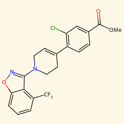 COC(=O)c1ccc(C2=CCN(c3noc4cccc(C(F)(F)F)c34)CC2)c(Cl)c1